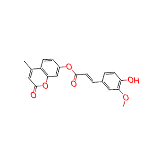 COc1cc(C=CC(=O)Oc2ccc3c(C)cc(=O)oc3c2)ccc1O